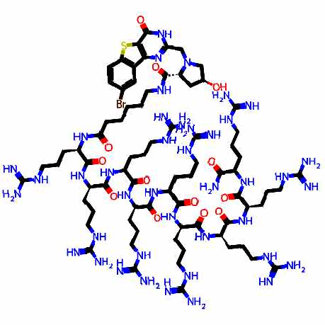 N=C(N)NCCCC(NC(=O)[C@@H](CCCNC(=N)N)NC(=O)[C@@H](CCCNC(=N)N)NC(=O)[C@@H](CCCNC(=N)N)NC(=O)C(CCCNC(=N)N)NC(=O)[C@@H](CCCNC(=N)N)NC(=O)C(CCCNC(=N)N)NC(=O)[C@@H](CCCNC(=N)N)NC(=O)[C@@H](CCCNC(=N)N)NC(=O)CCCCCNC(=O)[C@H]1C[C@H](O)CN1Cc1nc2c(sc3ccc(Br)cc32)c(=O)[nH]1)C(N)=O